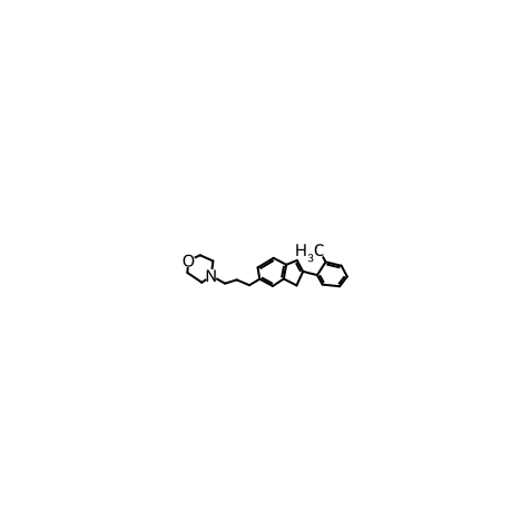 Cc1ccccc1C1=Cc2ccc(CCCN3CCOCC3)cc2C1